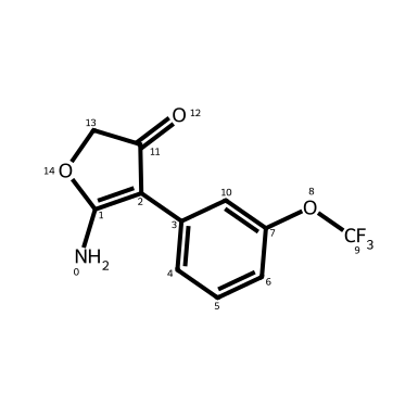 NC1=C(c2cccc(OC(F)(F)F)c2)C(=O)CO1